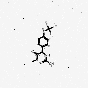 CCC(=O)C(NC(=O)O)c1ccc(OC(F)(F)F)cc1